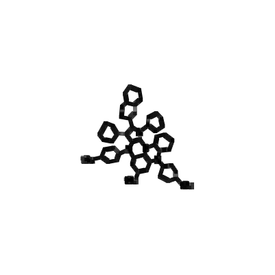 CC(C)(C)c1ccc(N2c3ccccc3B3c4c2cc(C(C)(C)C)cc4N(c2ccc(C(C)(C)C)cc2)c2c(-c4ccccc4)c(-c4ccc5ccccc5c4)n(-c4ccccc4)c23)cc1